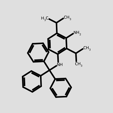 CC(C)c1ccc(NC(c2ccccc2)(c2ccccc2)c2ccccc2)c(C(C)C)c1N